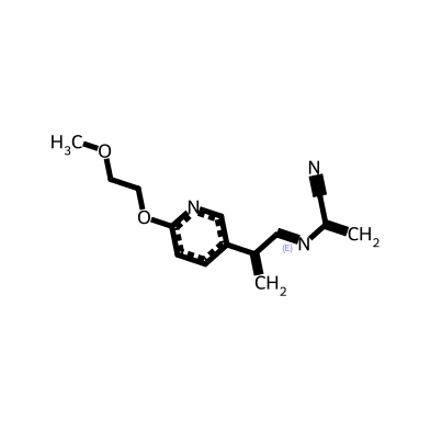 C=C(C#N)/N=C/C(=C)c1ccc(OCCOC)nc1